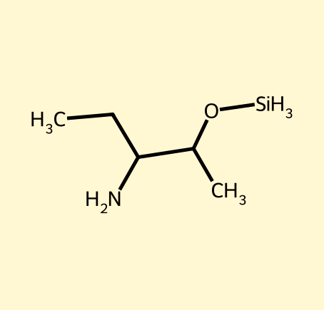 CCC(N)C(C)O[SiH3]